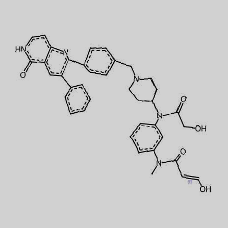 CN(C(=O)/C=C/O)c1cccc(N(C(=O)CO)C2CCN(Cc3ccc(-c4nc5cc[nH]c(=O)c5cc4-c4ccccc4)cc3)CC2)c1